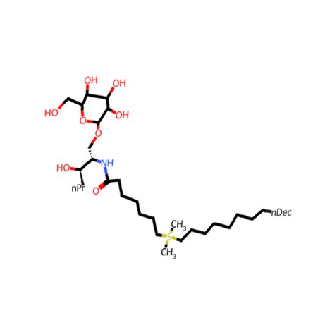 CCCCCCCCCCCCCCCCCCS(C)(C)CCCCCCC(=O)N[C@@H](COC1OC(CO)C(O)C(O)C1O)[C@H](O)CCC